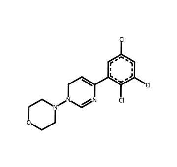 Clc1cc(Cl)c(Cl)c(C2=CCN(N3CCOCC3)C=N2)c1